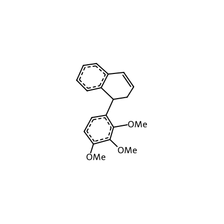 COc1ccc(C2CC=Cc3ccccc32)c(OC)c1OC